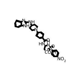 O=C(O)CC(NC(=O)c1ccc(N2CCC(Nc3nc4ccccc4[nH]3)CC2)cc1)NS(=O)(=O)c1ccc([N+](=O)[O-])cc1